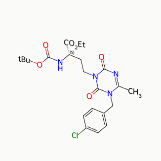 CCOC(=O)[C@H](CCn1c(=O)nc(C)n(Cc2ccc(Cl)cc2)c1=O)NC(=O)OC(C)(C)C